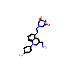 NCC1Cc2c(CCN3CC(=O)NC(=O)C3)cccc2N(c2ccc(C(F)(F)F)cc2)C1